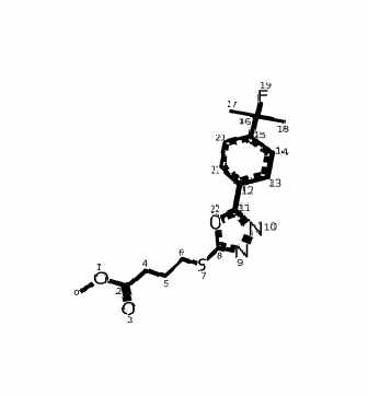 COC(=O)CCCSc1nnc(-c2ccc(C(C)(C)F)cc2)o1